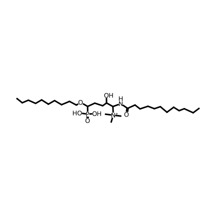 CCCCCCCCCCCC(=O)NC(C(O)CCC(OCCCCCCCCCC)P(=O)(O)O)[N+](C)(C)C